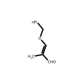 CCCCOC=C(C)C=O